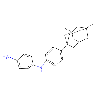 CC12CC3CC(C)(C1)CC(c1ccc(Nc4ccc(N)cc4)cc1)(C3)C2